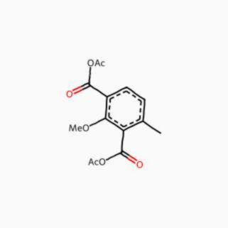 COc1c(C(=O)OC(C)=O)ccc(C)c1C(=O)OC(C)=O